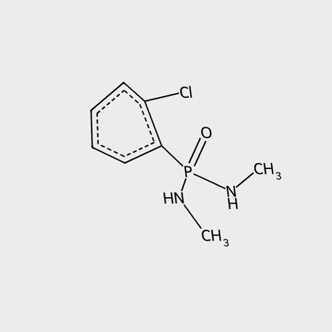 CNP(=O)(NC)c1ccccc1Cl